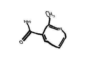 Cc1ncccc1C([NH])=O